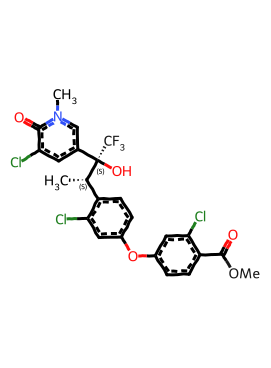 COC(=O)c1ccc(Oc2ccc([C@H](C)[C@](O)(c3cc(Cl)c(=O)n(C)c3)C(F)(F)F)c(Cl)c2)cc1Cl